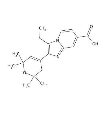 CCc1c(C2=CC(C)(C)OC(C)(C)C2)nc2cc(C(=O)O)ccn12